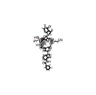 CC(C)[Si](O)(O[Si](O[C@H]1[C@H]2OP(=O)(OCCC#N)OC[C@H]3O[C@@H](n4cnc5c(NC(=O)c6ccccc6)ncnc54)[C@H](F)[C@@H]3OP(=O)(S)OC[C@H]1O[C@H]2n1cc(F)c2c(=O)n(C)cnc21)(C(C)C)C(C)C)C(C)C